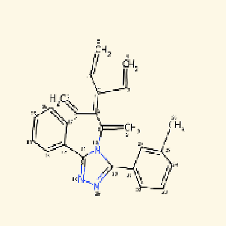 C=CC(C=C)=C(C=C)C(=C)n1c(-c2ccccc2)nnc1-c1cccc(C)c1